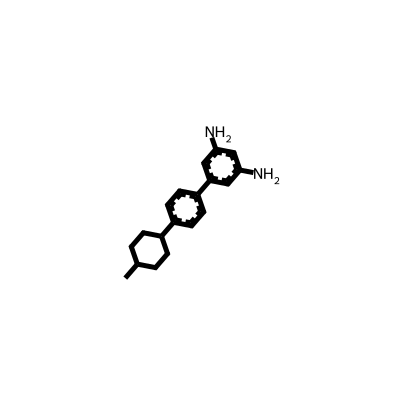 CC1CCC(c2ccc(-c3cc(N)cc(N)c3)cc2)CC1